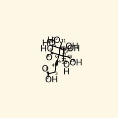 O=C(O)CC#CC(C(=O)O)(C(CO)(CO)CO)C(CO)(CO)CO